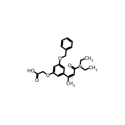 CCN(CC)C(=O)/C=C(/C)c1cc(OCC(=O)O)cc(OCc2ccccc2)c1